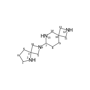 C1CNC2(C1)CN(C1CCC3(CNC3)CN1)C2